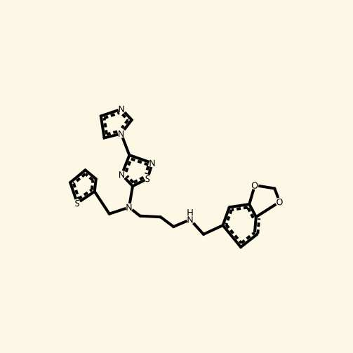 c1csc(CN(CCCNCc2ccc3c(c2)OCO3)c2nc(-n3ccnc3)ns2)c1